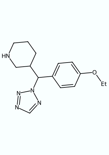 CCOc1ccc(C(C2CCCNC2)n2ncnn2)cc1